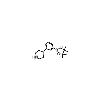 CC1(C)OB(c2cccc(N3CCNCC3)c2)OC1(C)C